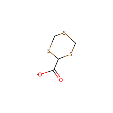 [O]C(=O)C1SCSCS1